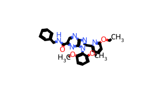 CCOc1cccc(-c2nc3ncc(C(=O)NCc4ccccc4)nc3n2-c2c(OC)cccc2OC)n1